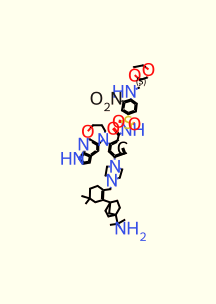 CC1(C)CCC(CN2CCN(c3ccc(C(=O)NS(=O)(=O)c4ccc(NC[C@H]5COCCO5)c([N+](=O)[O-])c4)c(N4CCCOc5nc6[nH]ccc6cc54)c3)CC2)=C(C23CCC(C(C)(C)N)(CC2)C3)C1